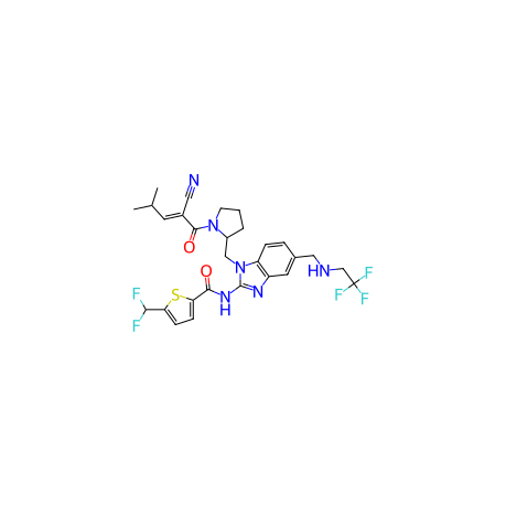 CC(C)C=C(C#N)C(=O)N1CCCC1Cn1c(NC(=O)c2ccc(C(F)F)s2)nc2cc(CNCC(F)(F)F)ccc21